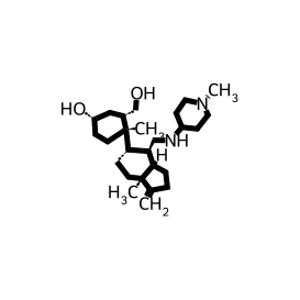 C=C1CC[C@H]2[C@H](CNC3CCN(C)CC3)[C@@H]([C@@]3(C)CC[C@H](O)C[C@@H]3CO)CC[C@]12C